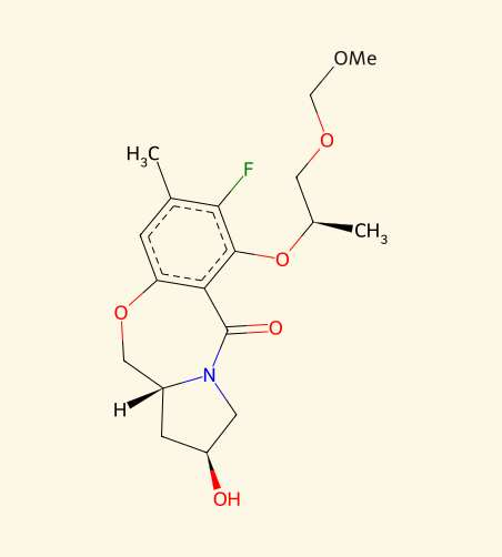 COCOC[C@@H](C)Oc1c(F)c(C)cc2c1C(=O)N1C[C@@H](O)C[C@@H]1CO2